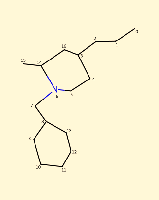 CCCC1CCN(CC2CCCCC2)C(C)C1